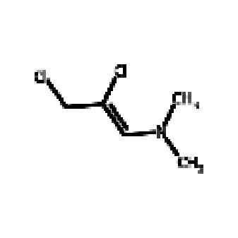 CN(C)C=C(Cl)CCl